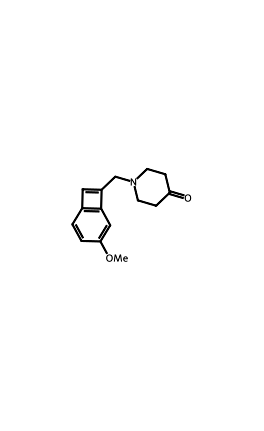 COc1ccc2c(c1)C(CN1CCC(=O)CC1)=C2